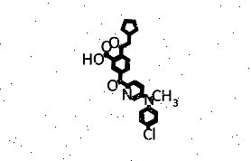 CN(c1ccc(Cl)cc1)c1ccc(C(=O)c2ccc(C(=O)CC3CCCC3)c(C(=O)O)c2)nc1